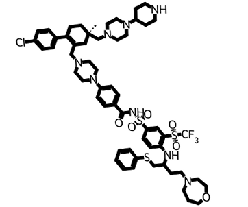 C[C@@]1(CN2CCN(C3CCNCC3)CC2)CCC(c2ccc(Cl)cc2)=C(CN2CCN(c3ccc(C(=O)NS(=O)(=O)c4ccc(NC(CCN5CCCOCC5)CSc5ccccc5)c(S(=O)(=O)C(F)(F)F)c4)cc3)CC2)C1